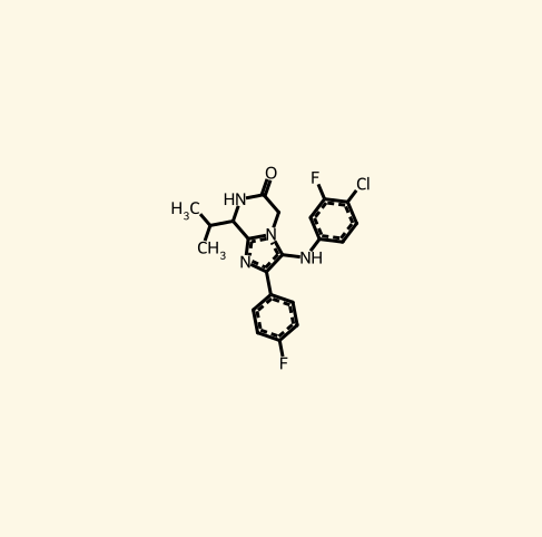 CC(C)C1NC(=O)Cn2c1nc(-c1ccc(F)cc1)c2Nc1ccc(Cl)c(F)c1